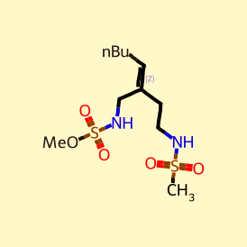 CCCC/C=C(/CCNS(C)(=O)=O)CNS(=O)(=O)OC